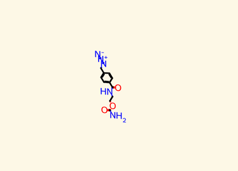 [N-]=[N+]=NCc1ccc(C(=O)NCCOC(N)=O)cc1